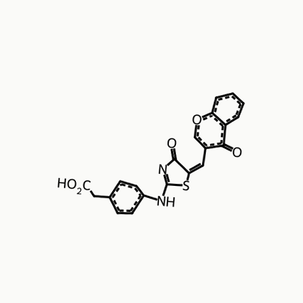 O=C(O)Cc1ccc(NC2=NC(=O)C(=Cc3coc4ccccc4c3=O)S2)cc1